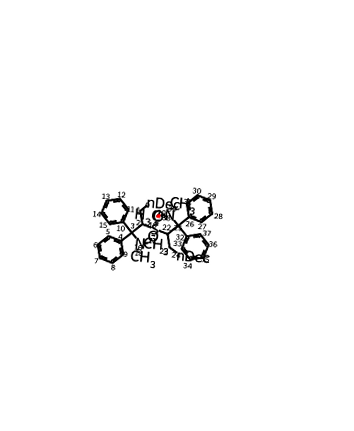 CCCCCCCCCCCC(C(c1ccccc1)(c1ccccc1)N(C)C)S(=O)(=O)C(CCCCCCCCCCC)C(c1ccccc1)(c1ccccc1)N(C)C